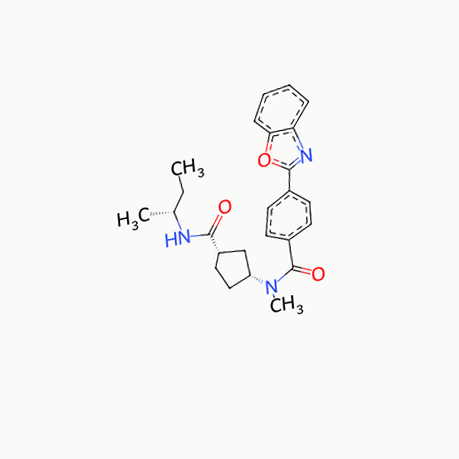 CC[C@@H](C)NC(=O)[C@H]1CC[C@@H](N(C)C(=O)c2ccc(-c3nc4ccccc4o3)cc2)C1